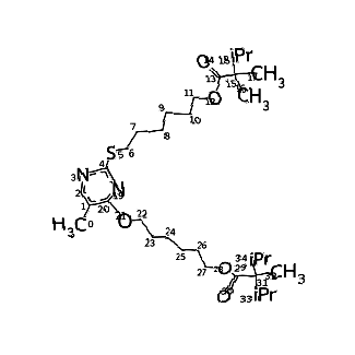 Cc1cnc(SCCCCCCOC(=O)C(C)(C)C(C)C)nc1OCCCCCCOC(=O)C(C)(C(C)C)C(C)C